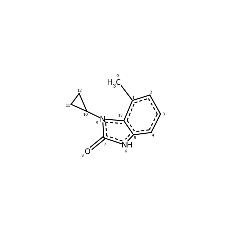 Cc1cccc2[nH]c(=O)n(C3CC3)c12